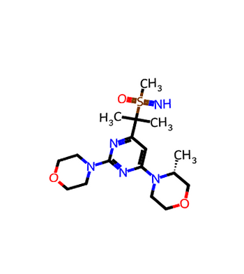 C[C@@H]1COCCN1c1cc(C(C)(C)S(C)(=N)=O)nc(N2CCOCC2)n1